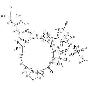 CC(C)(C)[C@@H]1NC(=O)O[C@@H]2CCC[C@H]2OC/C=C/C(F)(F)c2nc3cc(OC(F)(F)F)ccc3nc2O[C@]2(C)C[C@@H](C(=O)N[C@]3(C(=O)NS(=O)(=O)C4CC4)C[C@H]3C(F)F)N(C2)C1=O